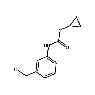 O=C(Nc1cc(CCl)ccn1)NC1CC1